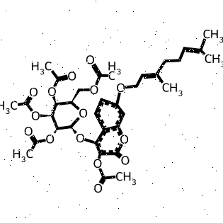 CC(=O)OC[C@H]1O[C@@H](Oc2c(OC(C)=O)c(=O)oc3cc(OC/C=C(\C)CCC=C(C)C)ccc23)[C@H](OC(C)=O)[C@@H](OC(C)=O)[C@H]1OC(C)=O